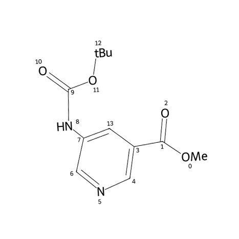 COC(=O)c1cncc(NC(=O)OC(C)(C)C)c1